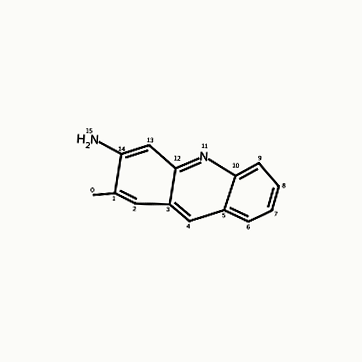 Cc1cc2cc3ccccc3nc2cc1N